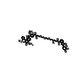 CC[C@@H]1C(=O)N(C)c2cnc(Nc3ccc(C(=O)NCCOCCOCCOCCNCCC(=O)Nc4cccc5c4CN(C4CCC(=O)NC4=O)C5=O)cc3OC)nc2N1C1CCCC1